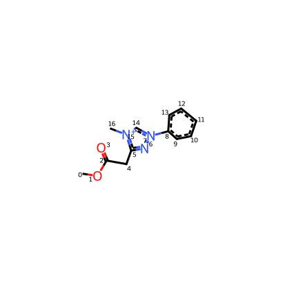 COC(=O)Cc1nn(-c2ccccc2)c[n+]1C